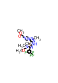 CCOC(=O)CCN1CCN(c2cc(Nc3nc(-c4cc(F)cc(C(F)(F)F)c4)c(N(CCOC)C(C)C)s3)nc(C)n2)CC1